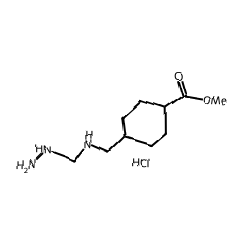 COC(=O)C1CCC(CNCNN)CC1.Cl